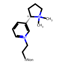 CCCCCCCCCCC[n+]1cccc([C@@H]2CCC[N+]2(C)C)c1